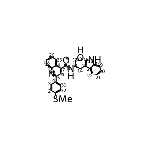 CSc1ccc(-c2cc(C(=O)N[C@@H](CO)Cc3c[nH]c4ccccc34)c3ccccc3n2)cc1